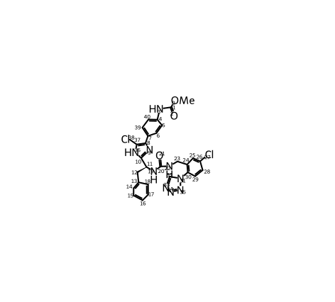 COC(=O)Nc1ccc(-c2nc([C@H](Cc3ccccc3)NC(=O)NCc3cc(Cl)ccc3-n3cnnn3)[nH]c2Cl)cc1